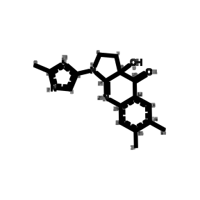 Cc1ncc(N2CCC3(O)C(=O)c4cc(C)c(C)cc4N=C23)s1